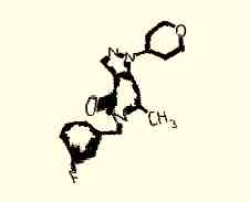 Cc1cc2c(cnn2C2CCOCC2)c(=O)n1Cc1cccc(F)c1